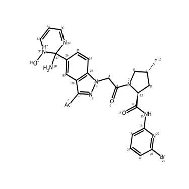 CC(=O)c1nn(CC(=O)N2C[C@H](F)C[C@H]2C(=O)Nc2cccc(Br)n2)c2ccc(C3(N)N=CC=C[NH+]3[O-])cc12